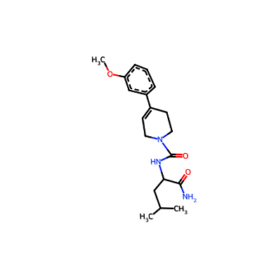 COc1cccc(C2=CCN(C(=O)NC(CC(C)C)C(N)=O)CC2)c1